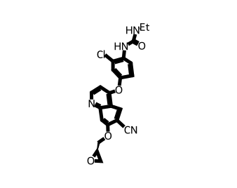 CCNC(=O)Nc1ccc(Oc2ccnc3cc(OC[C@H]4CO4)c(C#N)cc23)cc1Cl